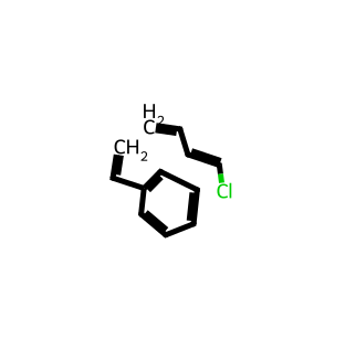 C=CC=CCl.C=Cc1ccccc1